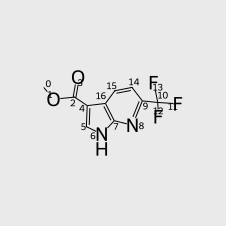 COC(=O)c1c[nH]c2nc(C(F)(F)F)ccc12